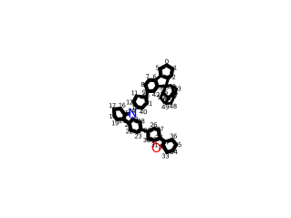 c1ccc2c(c1)-c1ccc(-c3ccc(-n4c5ccccc5c5ccc(-c6ccc7c(c6)oc6ccccc67)cc54)cc3)cc1C21C2CC3CC(C2)CC1C3